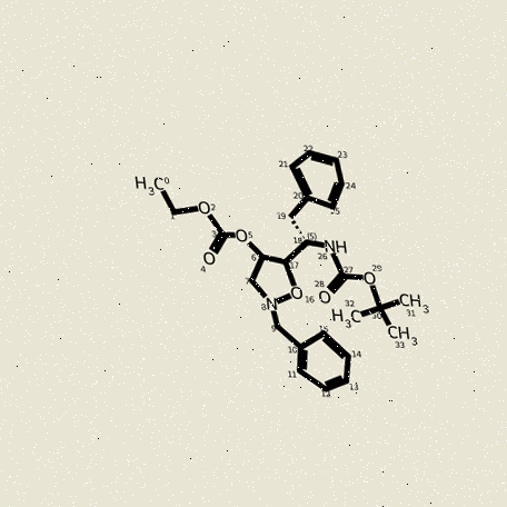 CCOC(=O)OC1CN(Cc2ccccc2)OC1[C@H](Cc1ccccc1)NC(=O)OC(C)(C)C